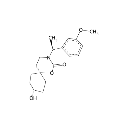 COc1cccc([C@H](C)N2CC[C@]3(CC[C@@H](O)CC3)OC2=O)c1